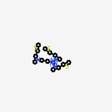 c1ccc2c(c1)sc1cc(-c3ccc4c5ccccc5n(-c5ccc(-c6ccc(-c7nc(-n8c9ccccc9c9ccc(-c%10ccc%11c(c%10)sc%10ccccc%10%11)cc98)nc(-n8c9ccccc9c9ccc(-c%10ccc%11c(c%10)sc%10ccccc%10%11)cc98)n7)cc6)cc5)c4c3)ccc12